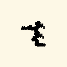 COC(=O)Cc1ccc([C@H]2C[C@H](CN[C@H](C)c3cccc4c(-c5ccc6c(c5)O[C@@H](CN[C@H](C)c5cccc7ccccc57)C[C@H]6c5ccc(CC(=O)OC)cc5)cccc34)Oc3ccccc32)cc1